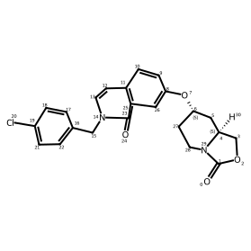 O=C1OC[C@@H]2C[C@@H](Oc3ccc4ccn(Cc5ccc(Cl)cc5)c(=O)c4c3)CCN12